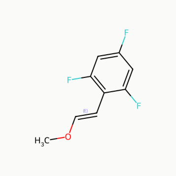 CO/C=C/c1c(F)cc(F)cc1F